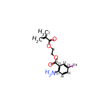 C=C(C)C(=O)OCCOC(=O)c1cc(I)ccc1N